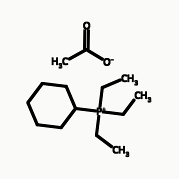 CC(=O)[O-].CC[P+](CC)(CC)C1CCCCC1